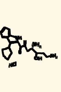 Cl.NCCC(O)[C@@H](N)CNC(=O)c1[nH]c2ccccc2c1C1CCCC1